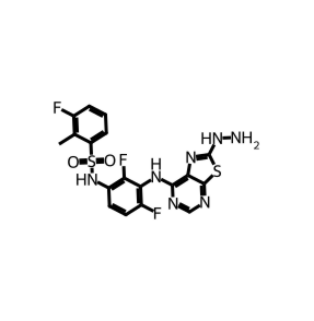 Cc1c(F)cccc1S(=O)(=O)Nc1ccc(F)c(Nc2ncnc3sc(NN)nc23)c1F